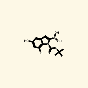 CC(C)(C)OC(=O)n1c(B(O)O)cc2cc(O)cc(Cl)c21